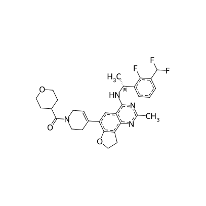 Cc1nc(N[C@H](C)c2cccc(C(F)F)c2F)c2cc(C3=CCN(C(=O)C4CCOCC4)CC3)c3c(c2n1)CCO3